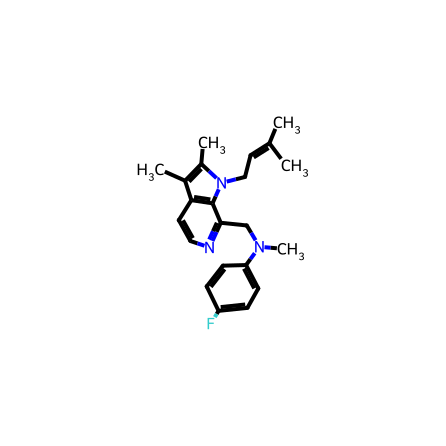 CC(C)=CCn1c(C)c(C)c2ccnc(CN(C)c3ccc(F)cc3)c21